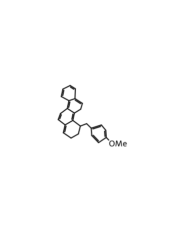 COc1ccc(CC2CCC=c3ccc4c(c32)CC=c2ccccc2=4)cc1